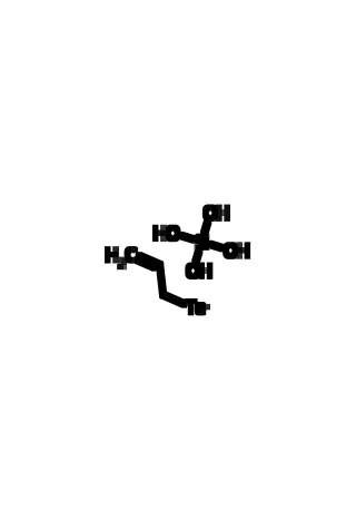 C=CC[Te].O[Si](O)(O)O